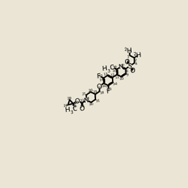 [2H]CC([2H])CS(=O)(=O)c1ccc(-c2cc(F)c(OCC3CCN(C(=O)OC4(C)CC4)CC3)c(F)c2)c(C)n1